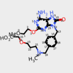 COCCOc1nc(N)c2[nH]c(=O)n(Cc3ccc(CN(C)CCCOCC(=O)O)cc3)c2n1